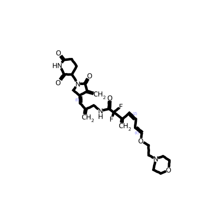 C=C(/C=C1/CN(C2CCC(=O)NC2=O)C(=O)C1=C)CNC(=O)C(F)(F)C(=C)/C=C\C=C\OCCN1CCOCC1